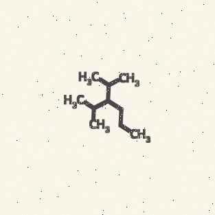 CCCC(C(C)C)C(C)C